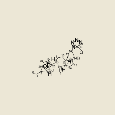 CCC1C2[C@@H]3CC[C@@H]4[C@H](CC[C@]5(C)[C@@H]([C@@H](C)Cn6nnnc6C)CC[C@@H]45)[C@H]3CC[C@]12O